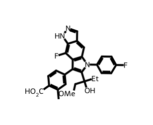 CCC(O)(COC)c1c(-c2ccc(C(=O)O)c(C)c2)c2c(F)c3[nH]ncc3cc2n1-c1ccc(F)cc1